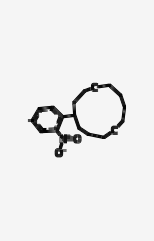 O=[N+]([O-])c1c[c]ccc1C1CCCCCCCCCCC1